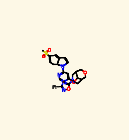 CC(C)c1noc(N2CC3COCC(C2)C3Oc2cc(N3C=CC4=CC(S(C)(=O)=O)=CCC43)ncn2)n1